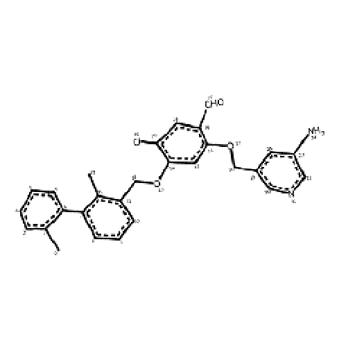 Cc1ccccc1-c1cccc(COc2cc(OCc3cncc(N)c3)c(C=O)cc2Cl)c1C